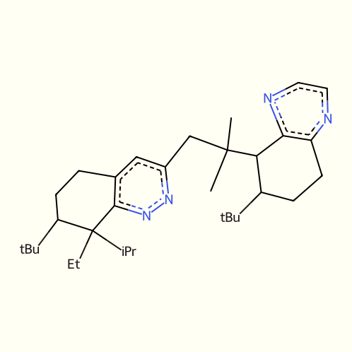 CCC1(C(C)C)c2nnc(CC(C)(C)C3c4nccnc4CCC3C(C)(C)C)cc2CCC1C(C)(C)C